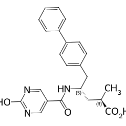 C[C@H](C[C@@H](Cc1ccc(-c2ccccc2)cc1)NC(=O)c1cnc(O)nc1)C(=O)O